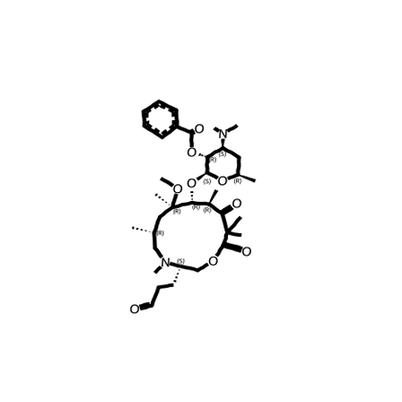 CO[C@]1(C)C[C@@H](C)CN(C)[C@@H](CCC=O)COC(=O)C(C)(C)C(=O)[C@H](C)[C@H]1O[C@@H]1O[C@H](C)C[C@H](N(C)C)[C@H]1OC(=O)c1ccccc1